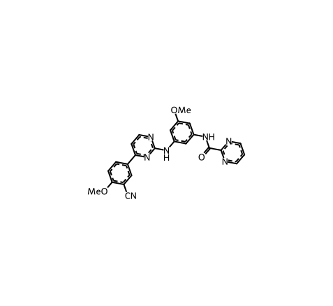 COc1cc(NC(=O)c2ncccn2)cc(Nc2nccc(-c3ccc(OC)c(C#N)c3)n2)c1